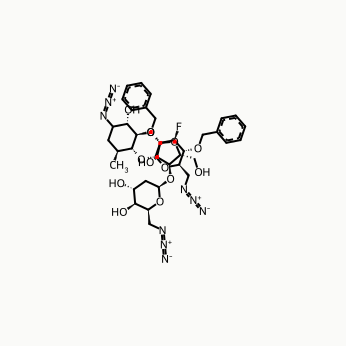 C[C@H]1CC(N=[N+]=[N-])[C@H](O)[C@@H](O[C@@H]2O[C@H](CO)[C@@H](O[C@@H]3C[C@@H](O)[C@H](O)[C@H](CN=[N+]=[N-])O3)[C@H]2O)[C@@H]1O[C@H]1O[C@H](CN=[N+]=[N-])[C@@H](OCc2ccccc2)[C@H](F)[C@H]1OCc1ccccc1